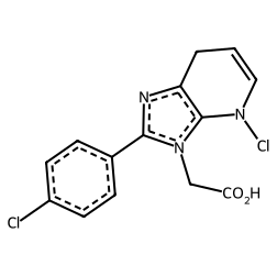 O=C(O)Cn1c(-c2ccc(Cl)cc2)nc2c1N(Cl)C=CC2